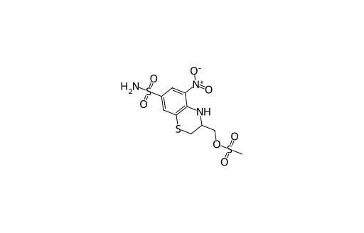 CS(=O)(=O)OCC1CSc2cc(S(N)(=O)=O)cc([N+](=O)[O-])c2N1